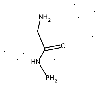 NCC(=O)NP